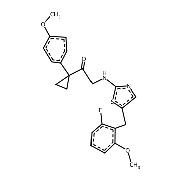 COc1ccc(C2(C(=O)CNc3ncc(Cc4c(F)cccc4OC)s3)CC2)cc1